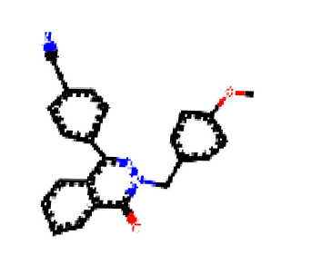 COc1ccc(Cn2nc(-c3ccc(C#N)cc3)c3ccccc3c2=O)cc1